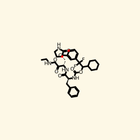 CCNC(=O)C(=O)[C@H](C[C@@H]1CCNC1=O)NC(=O)[C@H](Cc1ccccc1)NC(=O)OC(C1CCCCC1)C(F)(F)c1cccc(Cl)c1